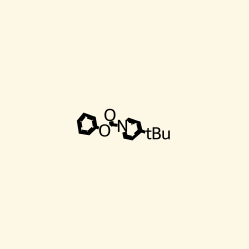 CC(C)(C)c1cc[n+](C(=O)Oc2ccccc2)cc1